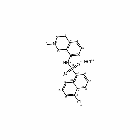 CN1CCc2cccc(NS(=O)(=O)c3cccc4c(Cl)cccc34)c2C1.Cl